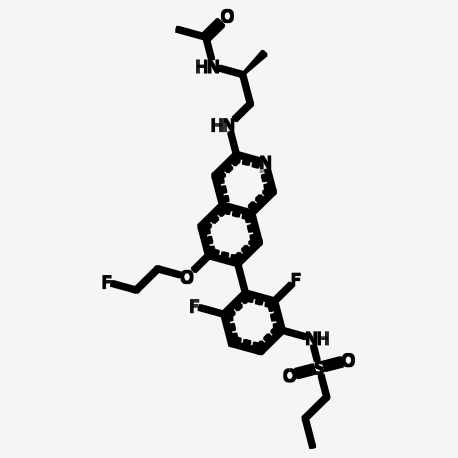 CCCS(=O)(=O)Nc1ccc(F)c(-c2cc3cnc(NC[C@H](C)NC(C)=O)cc3cc2OCCF)c1F